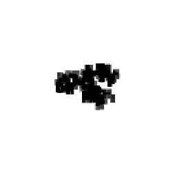 CC1(NS(=O)(=O)c2cc(N3CCN4CCOC[C@H]4C3)c3cnc(-c4nnc(C(F)F)s4)n3c2)CC1